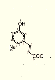 O=C([O-])C=Cc1cccc(O)c1.[Na+]